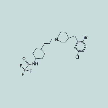 O=C(NC1CCC(CCCN2CCC(Cc3cc(Cl)ccc3Br)CC2)CC1)C(F)(F)F